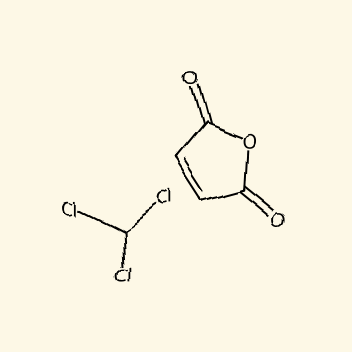 ClC(Cl)Cl.O=C1C=CC(=O)O1